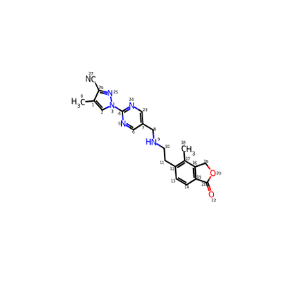 Cc1cn(-c2ncc(CNCCc3ccc4c(c3C)COC4=O)cn2)nc1C#N